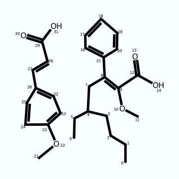 CCCCC(CC)CC(=C(OC)C(=O)O)c1ccccc1.COc1ccc(C=CC(=O)O)cc1